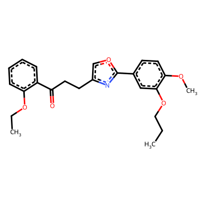 CCCOc1cc(-c2nc(CCC(=O)c3ccccc3OCC)co2)ccc1OC